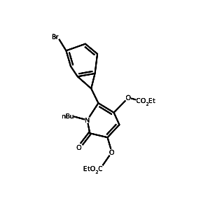 CCCCn1c(C2c3ccc(Br)cc32)c(OC(=O)OCC)cc(OC(=O)OCC)c1=O